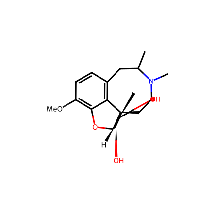 COc1ccc2c3c1O[C@H]1[C@@H](O)CC[C@](C)(O)[C@@]31CCN(C)C(C)C2